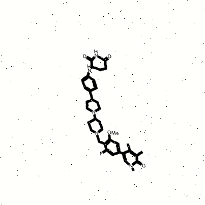 COc1cc(-c2cn(C)c(=O)c(C)c2C)cc(F)c1CN1CCC(N2CCC(c3ccc(NC4CCC(=O)NC4=O)cc3)CC2)CC1